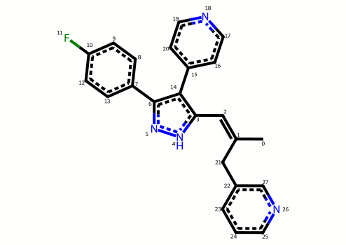 CC(=Cc1[nH]nc(-c2ccc(F)cc2)c1-c1ccncc1)Cc1cccnc1